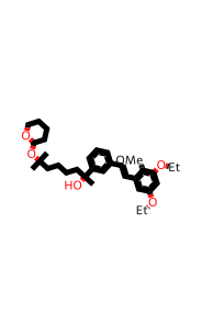 CCOc1cc(C=Cc2cccc(C(C)(O)CCCCC(C)(C)OC3CCCCO3)c2)c(OC)c(OCC)c1